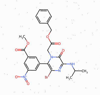 COC(=O)c1cc(-c2c(Br)nc(NC(C)C)c(=O)n2CC(=O)OCc2ccccc2)cc([N+](=O)[O-])c1